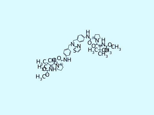 COC(=O)N[C@H](C(=O)N1CCC[C@H]1C(=O)Nc1ccc(CN(Cc2ccc(NC(=O)[C@@H]3CCCN3C(=O)[C@@H](NC(=O)OC)C(C)(C)C)cc2)c2nccs2)cc1)C(C)(C)C